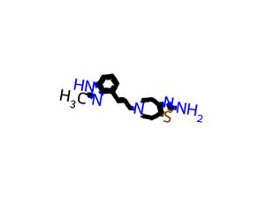 Cc1nc2c(C=CCN3CCc4nc(N)sc4CC3)cccc2[nH]1